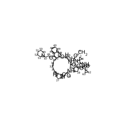 C=C[C@@H]1C[C@]1(NC(=O)[C@@H]1C[C@@H]2CN1C(=O)[C@H](C1CCCC1)NC(=O)O[C@@H]1CCC[C@H]1CCC=CCc1c(nc3ccccc3c1OCCN1CCCCC1)O2)C(=O)NS(=O)(=O)C1CC1